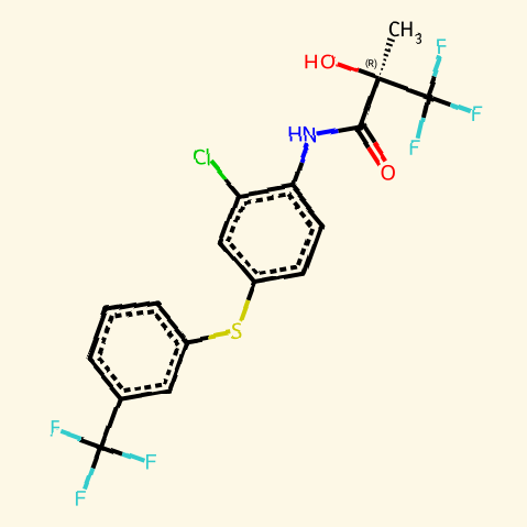 C[C@@](O)(C(=O)Nc1ccc(Sc2cccc(C(F)(F)F)c2)cc1Cl)C(F)(F)F